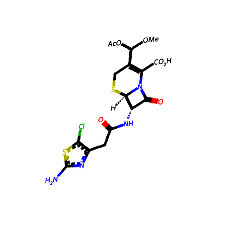 COC(OC(C)=O)C1=C(C(=O)O)N2C(=O)[C@H](NC(=O)Cc3nc(N)sc3Cl)[C@H]2SC1